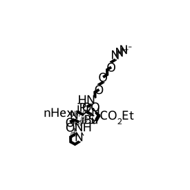 CCCCCCN(C(=O)[C@@H](NC(=O)[C@H]1CCCCN1C)[C@@H](C)CC)[C@H](C[C@@H](OC(=O)NCCOCCOCCOCCN=[N+]=[N-])c1nc(C(=O)OCC)cs1)C(C)C